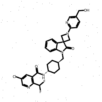 O=C(N[C@H]1CC[C@H](CN2C(=O)C3(CN(c4ccc(CO)cn4)C3)c3ccccc32)CC1)c1cc(Cl)cnc1C(F)F